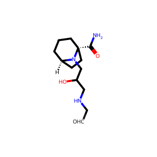 NC(=O)[C@]12C[CH]C[C@H](CC1)N2CC(O)CNCC=O